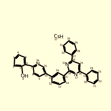 Oc1ccccc1-c1ccc(-c2cccc(-c3nc(-c4ccccc4)cc(-c4ccccc4)n3)c2)cn1.[CsH]